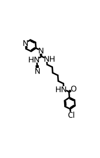 N#CNC(=Nc1ccncc1)NCCCCCCNC(=O)c1ccc(Cl)cc1